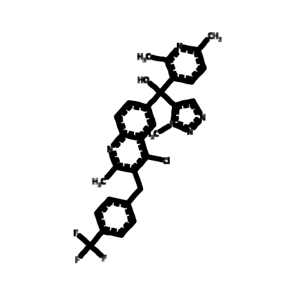 Cc1ccc(C(O)(c2ccc3nc(C)c(Cc4ccc(C(F)(F)F)cc4)c(Cl)c3c2)c2cnnn2C)c(C)n1